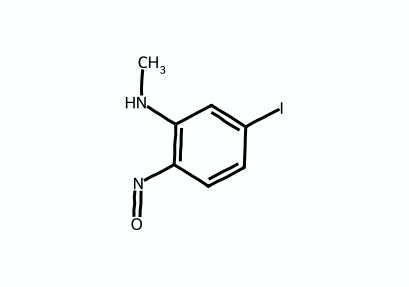 CNc1cc(I)ccc1N=O